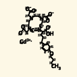 CCCCOc1ccc(CCCC(C(=O)O)N2CCN(CC(=O)[O-])CCN(CC(=O)[O-])CCN(CC(=O)[O-])CC2)cc1.[Gd+3]